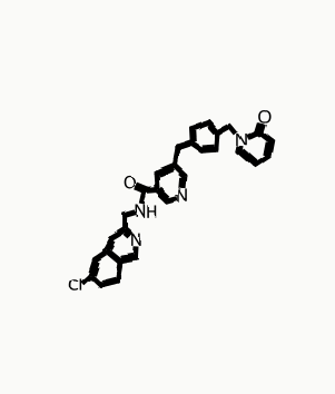 O=C(NCc1cc2cc(Cl)ccc2cn1)c1cncc(Cc2ccc(Cn3ccccc3=O)cc2)c1